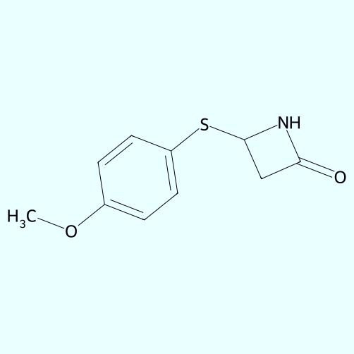 COc1ccc(SC2CC(=O)N2)cc1